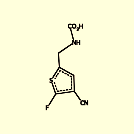 N#Cc1cc(CNC(=O)O)sc1F